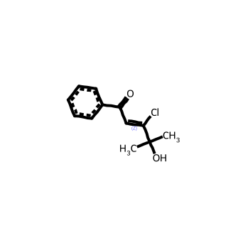 CC(C)(O)/C(Cl)=C/C(=O)c1ccccc1